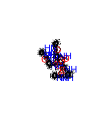 CCC(COC(=O)Nc1cc(NC(=O)Nc2ccccc2)ccc1C)(COC(=O)Nc1cc(NC(=O)Nc2ccccc2)ccc1C)CC(=O)Nc1cc(NC(=O)Nc2ccccc2)ccc1C